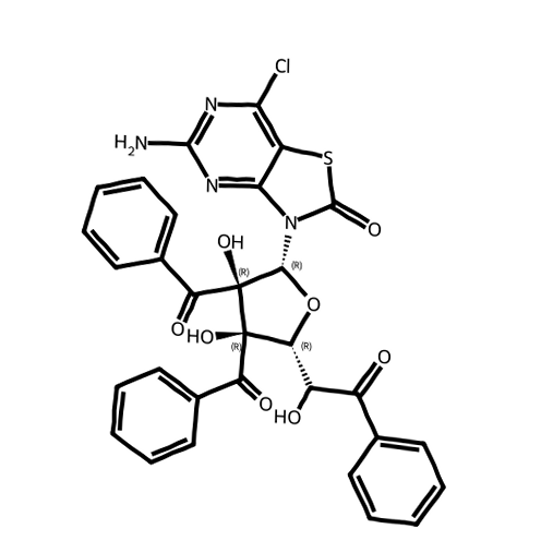 Nc1nc(Cl)c2sc(=O)n([C@@H]3O[C@H](C(O)C(=O)c4ccccc4)[C@](O)(C(=O)c4ccccc4)[C@]3(O)C(=O)c3ccccc3)c2n1